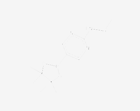 CONc1ncc(B2OC(C)(C)C(C)(C)O2)cn1